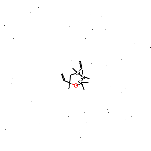 C=CC1(C)C[Si](C)(C=C)[Si](C)(C)[Si](C)(C)O1